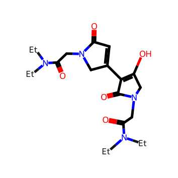 CCN(CC)C(=O)CN1CC(C2=C(O)CN(CC(=O)N(CC)CC)C2=O)=CC1=O